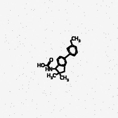 CCc1cccc(-c2ccc3c(c2)CC(C)(C)C3NC(=O)O)c1